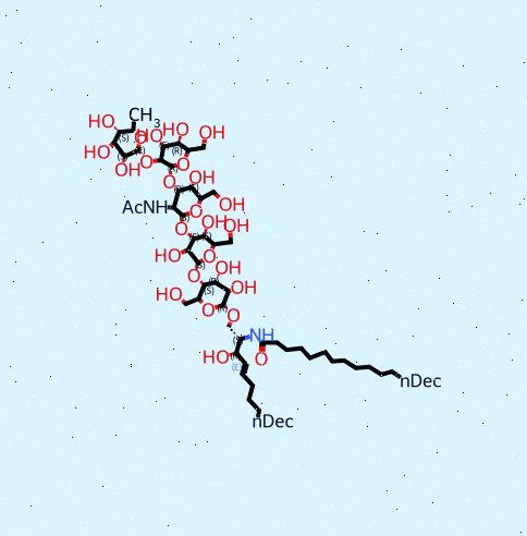 CCCCCCCCCCCCC/C=C/[C@@H](O)[C@H](CO[C@@H]1OC(CO)[C@@H](O[C@@H]2OC(CO)[C@H](O)[C@H](O[C@@H]3OC(CO)[C@@H](O)[C@H](O[C@@H]4OC(CO)[C@H](O)[C@H](O)C4O[C@H]4OC(C)[C@@H](O)C(O)[C@@H]4O)C3NC(C)=O)C2O)[C@H](O)C1O)NC(=O)CCCCCCCCCCCCCCCCCCCCC